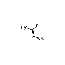 [CH2]C(F)=CC